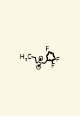 CCCS(=O)(=O)Cc1cc(F)cc(F)c1F